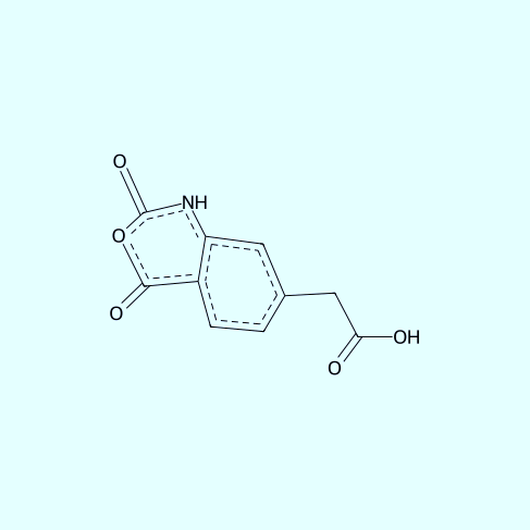 O=C(O)Cc1ccc2c(=O)oc(=O)[nH]c2c1